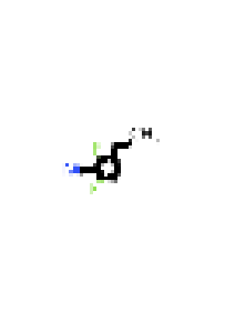 CCCc1ccc(F)c(C#N)c1F